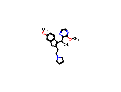 COc1ccc2c(c1)CC(CCN1CC=CC1)=C2C(C)c1nccnc1OC